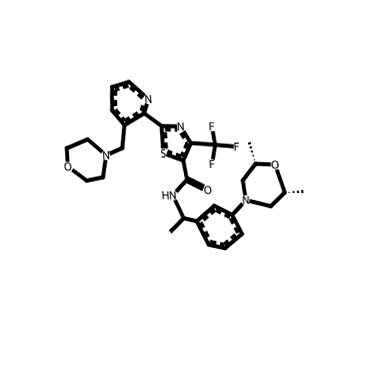 CC(NC(=O)c1sc(-c2ncccc2CN2CCOCC2)nc1C(F)(F)F)c1cccc(N2C[C@@H](C)O[C@@H](C)C2)c1